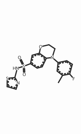 Cc1cc(N2CCOc3cc(S(=O)(=O)Nc4nccs4)ccc32)ccc1F